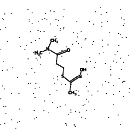 CC(=NO)SCCC(=O)N(C)C